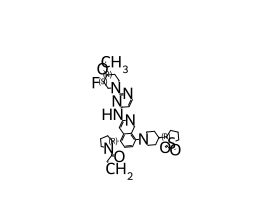 C=CC(=O)N1CCC[C@@H]1c1ccc(N2CCC([C@H]3CCCS3(=O)=O)CC2)c2cnc(Nc3ccnc(N4CC[C@@H](OC)[C@@H](F)C4)n3)cc12